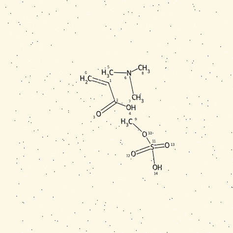 C=CC(=O)O.CN(C)C.COS(=O)(=O)O